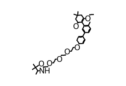 CCOC1=C(c2cc(C3=CCC(OCCOCCOCCOCC(=O)NC(C)C(C)(C)C)C=C3)ccc2C)C(=O)CC(C)(C)C1